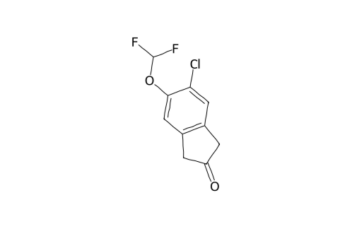 O=C1Cc2cc(Cl)c(OC(F)F)cc2C1